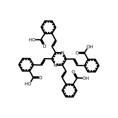 O=C(O)c1ccccc1C=Cc1nc(C=Cc2ccccc2C(=O)O)c(C=Cc2ccccc2C(=O)O)nc1C=Cc1ccccc1C(=O)O